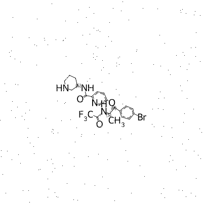 C[C@H](NC(=O)C(F)(F)F)[C@H](Oc1ccc(C(=O)N[C@H]2CCCNC2)nc1)c1ccc(Br)cc1